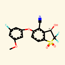 COc1cc(F)cc(Oc2ccc3c(c2C#N)[C@@H](O)C(F)(F)S3(=O)=O)c1